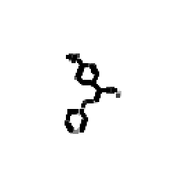 CC(=CCc1ccccc1)c1ccc(C)cc1